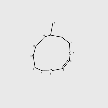 CC1CCCC=CCCCCCC1